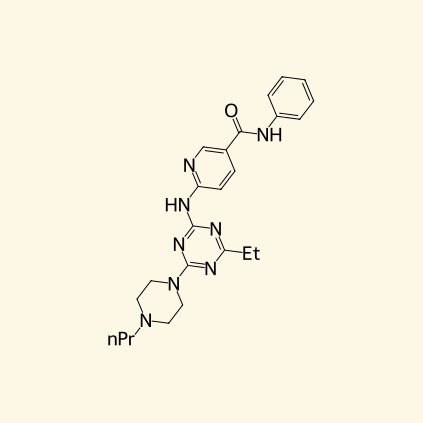 CCCN1CCN(c2nc(CC)nc(Nc3ccc(C(=O)Nc4ccccc4)cn3)n2)CC1